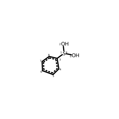 O[S+](O)c1ccccc1